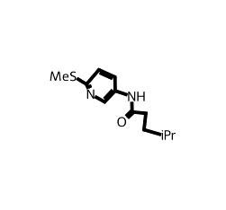 CSc1ccc(NC(=O)CCC(C)C)cn1